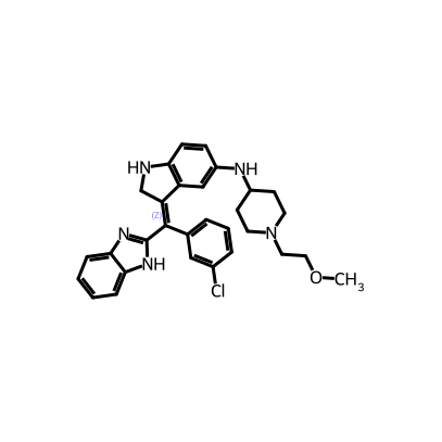 COCCN1CCC(Nc2ccc3c(c2)/C(=C(\c2cccc(Cl)c2)c2nc4ccccc4[nH]2)CN3)CC1